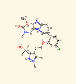 Cc1c(CCOc2cc(F)ccc2-c2ccc3ncc(CN(C)C(=O)OC(C)(C)C)n3c2)c(C(C)(C)O)nn1C